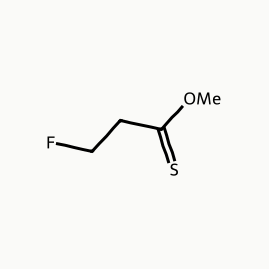 COC(=S)CCF